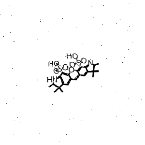 CC1N=c2c(cc3c(c2S(=O)(=O)O)Oc2c(cc4c(c2S(=O)(=O)O)NC(C)C4(C)C)C=3)C1(C)C